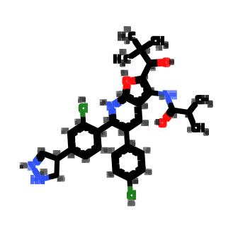 CC(C)C(=O)Nc1c(C(=O)C(C)(C)C)oc2nc(-c3ccc(C4C=NNC4)cc3Cl)c(-c3ccc(Cl)cc3)cc12